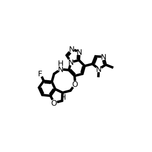 Cc1ncc(-c2cc3c(n4cnnc24)NCc2c(F)ccc4c2[C@H](CO4)CO3)n1C